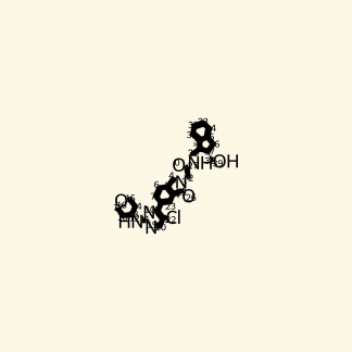 O=C(CN1Cc2ccc(-c3nc(NC4CCOCC4)ncc3Cl)cc2C1=O)NCC1c2ccccc2C[C@@H]1CO